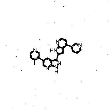 Cc1ccncc1-c1cnc2[nH]nc(-c3cc4c(-c5cccnc5)ccnc4[nH]3)c2c1